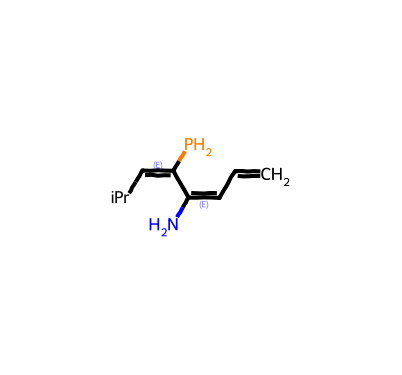 C=C/C=C(N)\C(P)=C/C(C)C